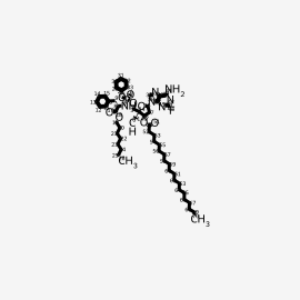 C#C[C@]1(CO[P@@](=O)(N[C@@H](Cc2ccccc2)C(=O)OCCCCCCCC)Oc2ccccc2)O[C@@H](n2cnc3c(N)nc(F)nc32)C[C@@H]1OC(=O)CCCCCCCCCCCCCCCCCCC